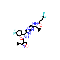 O=C(CCC(F)(F)F)N[C@@H](c1ccn2cc([C@@H](NC(=O)c3conc3C3CC3)C3CCC(F)(F)CC3)nc2n1)C1CC1